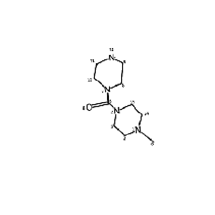 CN1CCN(C(=O)N2CC[N]CC2)CC1